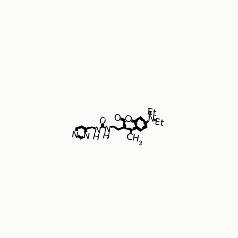 CCN(CC)c1ccc2c(C)c(CCNC(=O)NCc3ccncn3)c(=O)oc2c1